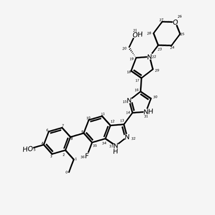 CCc1cc(O)ccc1-c1ccc2c(-c3nc(C4=C[C@H](CO)N(C5CCOCC5)C4)c[nH]3)n[nH]c2c1F